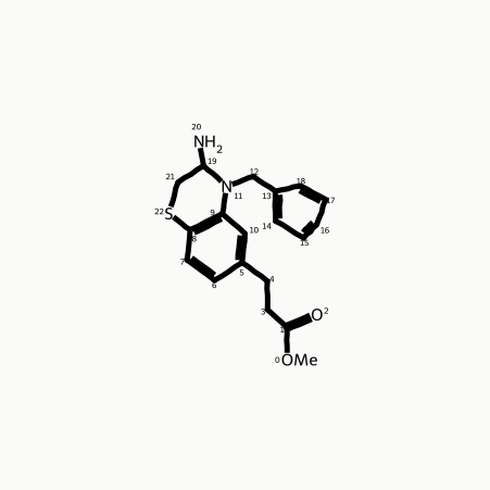 COC(=O)CCc1ccc2c(c1)N(Cc1ccccc1)C(N)CS2